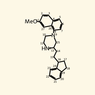 COc1ccc2cccc(N3CCNC(CCC4CCc5ccccc54)C3)c2c1